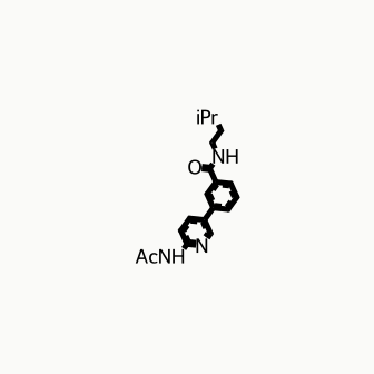 CC(=O)Nc1ccc(-c2cccc(C(=O)NCCC(C)C)c2)cn1